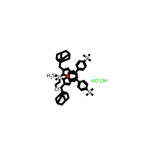 C[Si](C)(C)c1ccc(-c2cccc3c2C=C(CC2C4CC5CC(C4)CC2C5)[CH]3[Zr]([CH3])(=[SiH2])([CH2]CC(F)(F)F)[CH]2C(CC3C4CC5CC(C4)CC3C5)=Cc3c(-c4ccc([Si](C)(C)C)cc4)cccc32)cc1.Cl.Cl